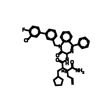 C=CC[C@H](C(N)=O)[C@@H](CC1CCCC1)C(=O)NC1N=C(c2ccccc2)c2ccccc2N(Cc2cccc(-c3ccc(F)c(Cl)c3)c2)C1=O